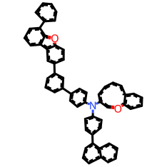 c1ccc(-c2cccc3c2oc2ccc(-c4cccc(-c5ccc(N(c6ccc(-c7cccc8ccccc78)cc6)c6ccccc7ccccc7oc6)cc5)c4)cc23)cc1